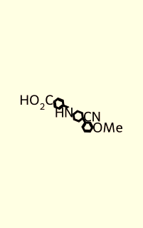 COc1cccc([C@]2(C#N)CC[C@@H](NCc3ccc(C(=O)O)cc3)CC2)c1